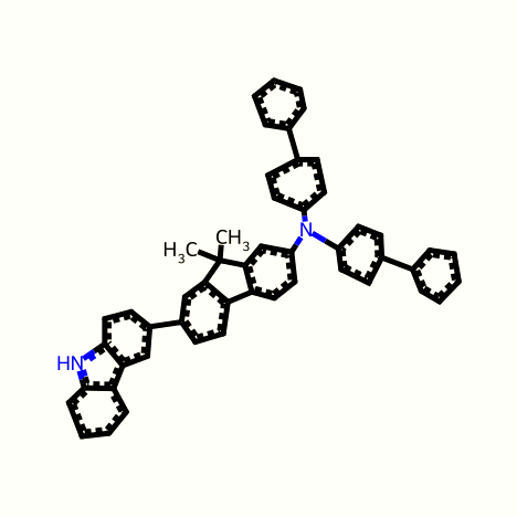 CC1(C)c2cc(-c3ccc4[nH]c5ccccc5c4c3)ccc2-c2ccc(N(c3ccc(-c4ccccc4)cc3)c3ccc(-c4ccccc4)cc3)cc21